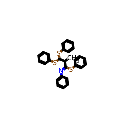 CC(C(=Nc1ccccc1)Sc1ccccc1)C(Sc1ccccc1)Sc1ccccc1